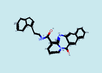 O=C(NCCC1=CCc2ccccc21)c1cccn2c(=O)c3cc4ccccc4cc3nc12